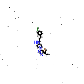 C=Cc1csc2c(N3CCC(NCCCc4ccc(F)cc4)CC3)ncnc12